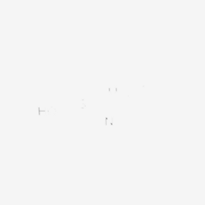 OCc1cnc(OC2CC2)s1